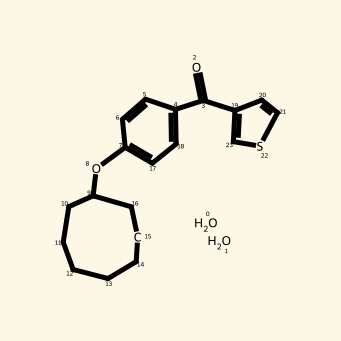 O.O.O=C(c1ccc(OC2CCCCCCC2)cc1)c1ccsc1